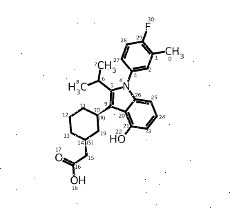 Cc1cc(-n2c(C(C)C)c([C@@H]3CCC[C@H](CC(=O)O)C3)c3c(O)cccc32)ccc1F